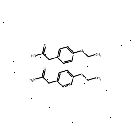 CCSc1ccc(CC(=O)O)cc1.CCSc1ccc(CC(N)=O)cc1